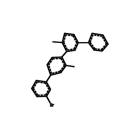 Cc1cc(-c2cccc(Br)c2)ccc1-c1cc(-c2ccccc2)ccc1C